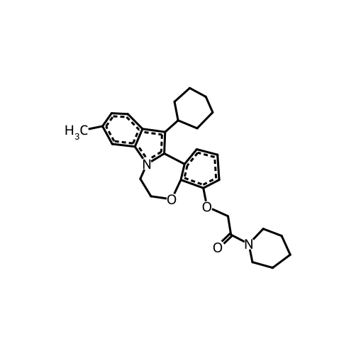 Cc1ccc2c(C3CCCCC3)c3n(c2c1)CCOc1c(OCC(=O)N2CCCCC2)cccc1-3